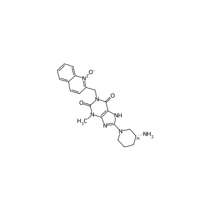 Cn1c(=O)n(Cc2ccc3ccccc3[n+]2[O-])c(=O)c2[nH]c(N3CCC[C@@H](N)C3)nc21